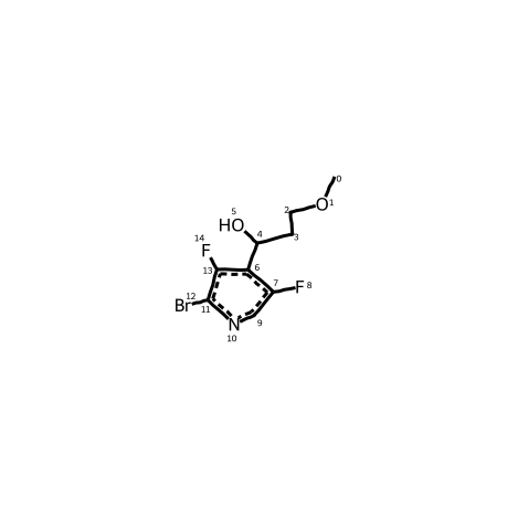 COCCC(O)c1c(F)cnc(Br)c1F